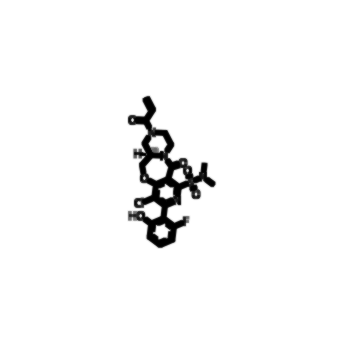 C=CC(=O)N1CCN2C(=O)c3c(S(=O)(=O)N(C)C)nc(-c4c(O)cccc4F)c(Cl)c3OC[C@H]2C1